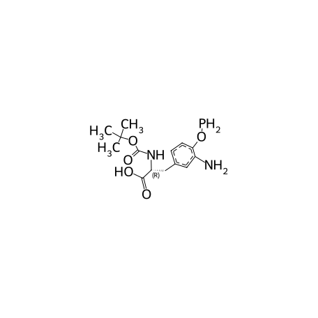 CC(C)(C)OC(=O)N[C@H](Cc1ccc(OP)c(N)c1)C(=O)O